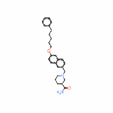 NC(=O)C1CCCN(Cc2ccc3cc(OCCCCCc4ccccc4)ccc3c2)C1